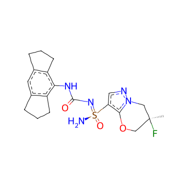 C[C@]1(F)COc2c([S@](N)(=O)=NC(=O)Nc3c4c(cc5c3CCC5)CCC4)cnn2C1